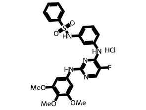 COc1cc(Nc2ncc(F)c(Nc3cccc(NS(=O)(=O)c4ccccc4)c3)n2)cc(OC)c1OC.Cl